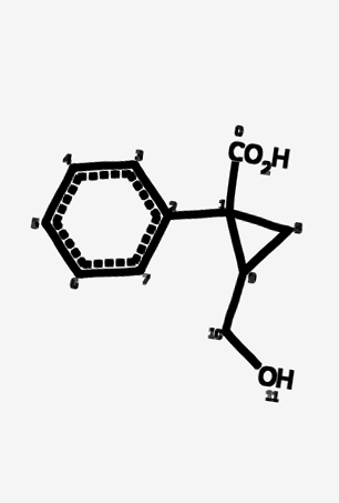 O=C(O)C1(c2ccccc2)CC1CO